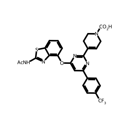 CC(=O)Nc1nc2c(Oc3cc(-c4ccc(C(F)(F)F)cc4)nc(C4=CCN(C(=O)O)CC4)n3)cccc2s1